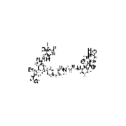 CCN(c1cc(-c2ccc(CN3CCN(CCCCOc4cccc5c4C(=O)N(C4CCC(=O)NC4=O)C5=O)CC3)cc2)cc(C(=O)NCc2c(C)cc(C)[nH]c2=O)c1C)C1CCOCC1